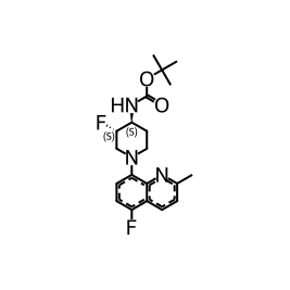 Cc1ccc2c(F)ccc(N3CC[C@H](NC(=O)OC(C)(C)C)[C@@H](F)C3)c2n1